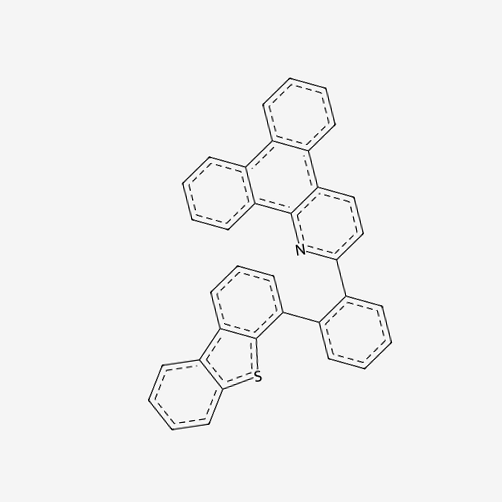 c1ccc(-c2cccc3c2sc2ccccc23)c(-c2ccc3c4ccccc4c4ccccc4c3n2)c1